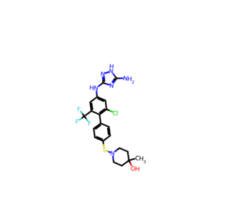 CC1(O)CCN(Sc2ccc(-c3c(Cl)cc(Nc4n[nH]c(N)n4)cc3C(F)(F)F)cc2)CC1